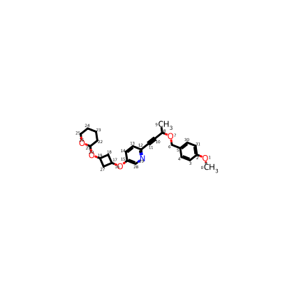 COc1ccc(COC(C)C#Cc2ccc(OC3CC(OC4CCCCO4)C3)cn2)cc1